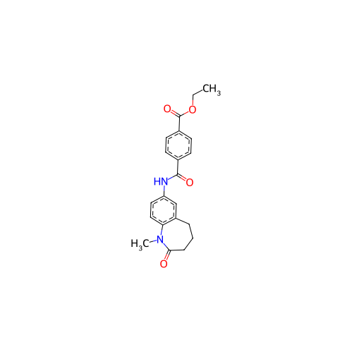 CCOC(=O)c1ccc(C(=O)Nc2ccc3c(c2)CCCC(=O)N3C)cc1